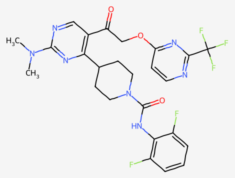 CN(C)c1ncc(C(=O)COc2ccnc(C(F)(F)F)n2)c(C2CCN(C(=O)Nc3c(F)cccc3F)CC2)n1